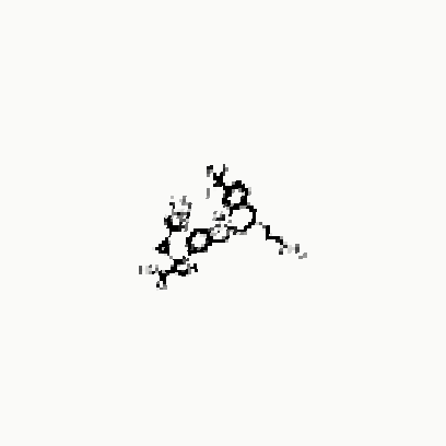 CCCC[C@H]1Cc2ccc(C(F)(F)F)cc2S(=O)(=O)N(Cc2cccc(-n3ncc(C(=O)O)c3[C@@H]3C[C@H]3c3cn(C)nn3)c2)C1